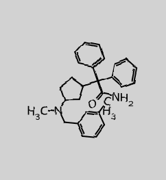 Cc1cccc(CN(C)C2CCC(C(C(N)=O)(c3ccccc3)c3ccccc3)C2)c1